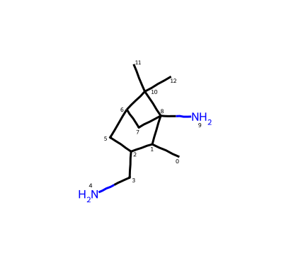 CC1C(CN)CC2CC1(N)C2(C)C